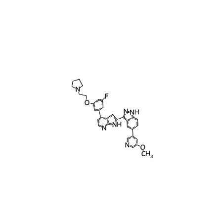 COc1cncc(-c2ccc3[nH]nc(-c4cc5c(-c6cc(F)cc(OCCN7CCCC7)c6)ccnc5[nH]4)c3c2)c1